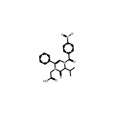 CC(C)C1C(=O)N(CC(=O)O)C(c2ccccc2)=CN1C(=O)c1ccc([N+](=O)[O-])cc1